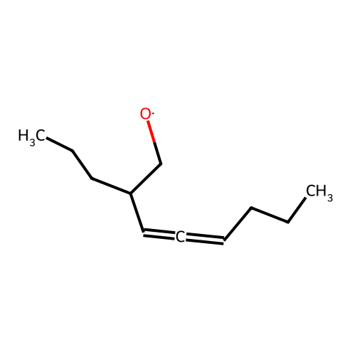 CCCC=C=CC(C[O])CCC